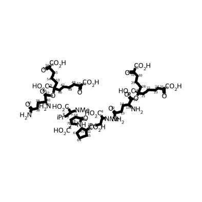 CNC(CC(C)C)C(=O)O.CNC(CC(C)C)C(=O)O.NC(=O)CCC(N)C(=O)O[C@@](CCCCC(=O)C(=O)O)(CCCC(=O)C(=O)O)C(=O)O.NC(=O)CC[C@H](N)C(=O)O[C@@](CCCCC(=O)C(=O)O)(CCCC(=O)C(=O)O)C(=O)O.O=C(O)C1CCCC1.O=C1CC[C@@H](C(=O)O)N1